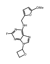 COc1ccc(CNc2nc(F)nc3c2ncn3C2CCO2)o1